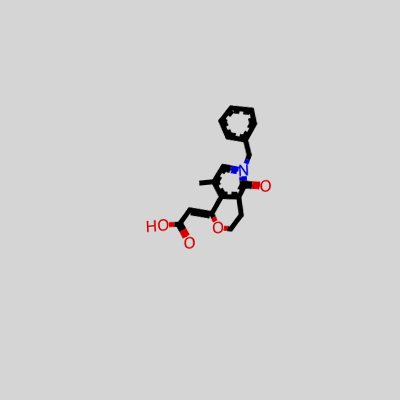 Cc1cn(Cc2ccccc2)c(=O)c2c1/C(=C/C(=O)O)OCC2